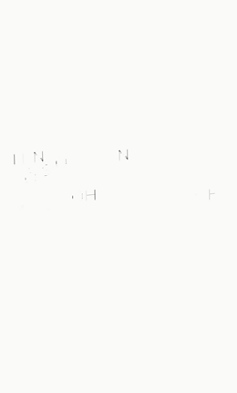 CCN(CCCCCC(C)(C)F)CCCC(O)C(c1ccccc1)S(N)(=O)=O